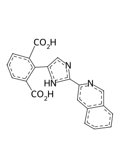 O=C(O)c1cccc(C(=O)O)c1-c1cnc(-c2cc3ccccc3cn2)[nH]1